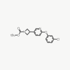 CC(C)(C)OC(=O)N1CC(c2ccc(Oc3cccc(Cl)c3)nc2)C1